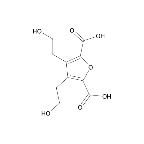 O=C(O)c1oc(C(=O)O)c(CCO)c1CCO